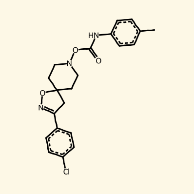 Cc1ccc(NC(=O)ON2CCC3(CC2)CC(c2ccc(Cl)cc2)=NO3)cc1